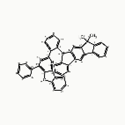 CC1(C)c2ccccc2-c2cc3c4ccccc4n(-c4ccccc4-c4nc(-c5ccccc5)c5oc6ccccc6c5n4)c3cc21